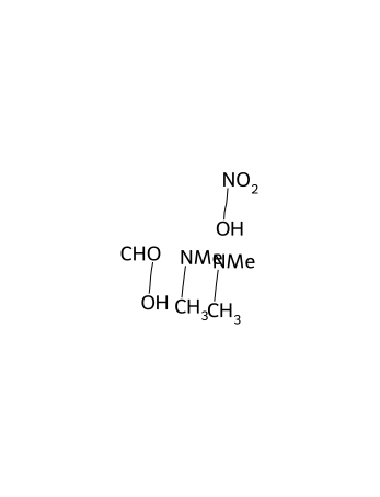 CNC.CNC.O=CO.O=[N+]([O-])O